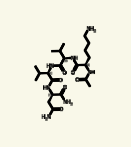 CC(=O)N[C@H](CCCCN)C(=O)N[C@@H](C(=O)N[C@@H](C(=O)N[C@H](CC(N)=O)C(N)=O)C(C)C)C(C)C